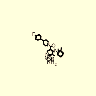 Cc1ccccc1Nc1c(C(=O)N2CCC(c3ccc(F)cc3)CC2)cnc(S(N)(=O)=O)c1C